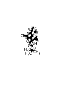 CC(C)(C)OC(=O)N[C@]1(C2CC2)COc2c1cc([C@]1(C(F)(F)F)CO1)nc2Cl